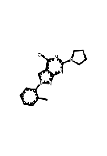 Cc1ccccc1-n1cc2c(Cl)nc(N3CCCC3)nc2n1